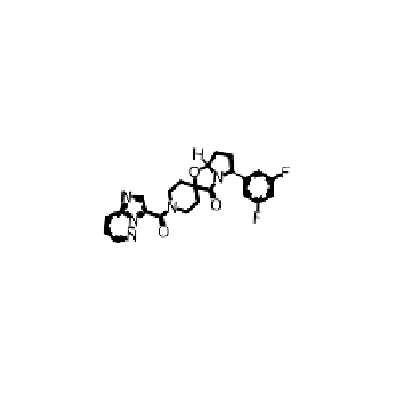 O=C(c1cnc2cccnn12)N1CCC2(CC1)O[C@@H]1CC[C@@H](c3cc(F)cc(F)c3)N1C2=O